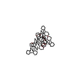 c1ccc(N(c2ccccc2)c2cccc3c4ccccc4n(-c4cccc(-c5nc(-c6cccc(-n7c8ccccc8c8cccc(N(c9ccccc9)c9ccccc9)c87)c6)nc(-c6cccc(-n7c8ccccc8c8cccc(N(c9ccccc9)c9ccccc9)c87)c6)n5)c4)c23)cc1